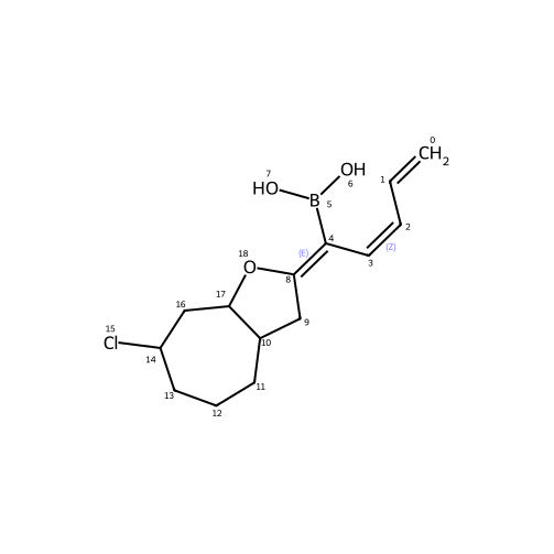 C=C/C=C\C(B(O)O)=C1/CC2CCCC(Cl)CC2O1